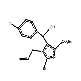 C=CCn1c(Br)nc(C(=O)OCC)c1C(O)c1ccc(Cl)cc1